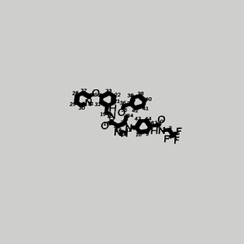 O=C(NCC(F)(F)F)c1ccc(-n2nnc(C(=O)NCc3cccc(Oc4ccccn4)c3)c2COCc2ccccc2)cc1